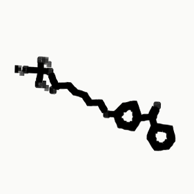 CC(C)(C)OC(=O)CCCCCOc1ccc(C(=O)c2ccccc2)cc1